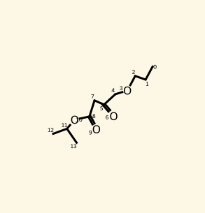 CCCOCC(=O)CC(=O)OC(C)C